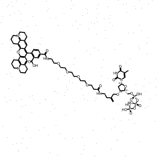 C=C(CCNC(=O)CCOCCOCCOCCOCCNC(=O)c1ccc(C2=c3cc4c5c(c3Oc3c2cc2c6c3CCCN6CCC2)CCC[N+]=5CCC4)c(C(=O)O)c1)CO[C@@H]1C[C@H](n2cc(C)c(=O)[nH]c2=O)O[C@@H]1COP(=O)(O)OP(=O)(O)OP(=O)(O)O